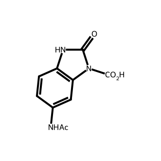 CC(=O)Nc1ccc2[nH]c(=O)n(C(=O)O)c2c1